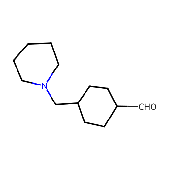 O=CC1CCC(CN2CCCCC2)CC1